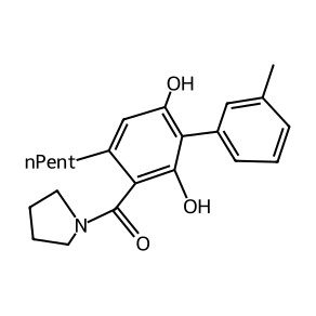 CCCCCc1cc(O)c(-c2cccc(C)c2)c(O)c1C(=O)N1CCCC1